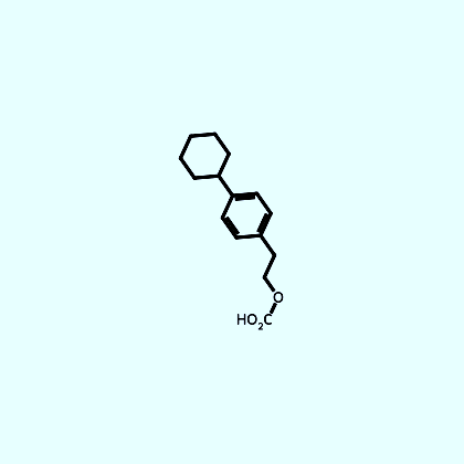 O=C(O)OCCc1ccc(C2CCCCC2)cc1